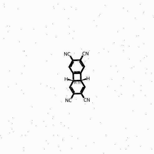 N#CC1=C[C@@H]2c3cc(C#N)c(C#N)cc3[C@@H]2C=C1C#N